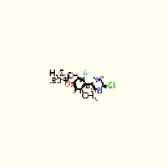 Cc1cc(O[Si](C)(C)C(C)(C)C)cc(F)c1-c1cnc(Cl)cn1